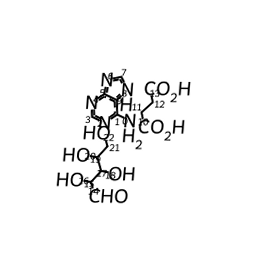 Nc1ncnc2nc[nH]c12.O=C(O)CCC(=O)O.O=CC(O)C(O)C(O)CO